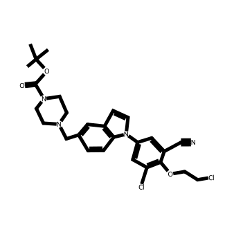 CC(C)(C)OC(=O)N1CCN(Cc2ccc3c(ccn3-c3cc(Cl)c(OCCCl)c(C#N)c3)c2)CC1